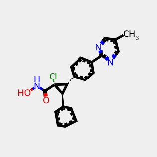 Cc1cnc(-c2ccc([C@@H]3[C@@H](c4ccccc4)[C@@]3(Cl)C(=O)NO)cc2)nc1